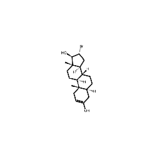 C[C@]12CC=C(O)C[C@@H]1CC[C@@H]1[C@@H]2CC[C@]2(C)[C@@H](O)[C@H](Br)C[C@@H]12